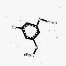 [CH2]Cc1cc(SCCCCC)cc(SCCCCC)c1